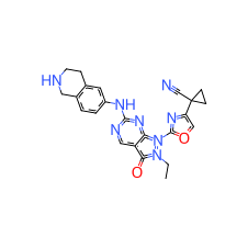 CCn1c(=O)c2cnc(Nc3ccc4c(c3)CCNC4)nc2n1-c1nc(C2(C#N)CC2)co1